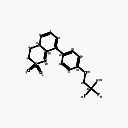 O=S1(=O)CCN2C=CC=C(c3ccc(OCC(F)(F)F)cc3)C2=N1